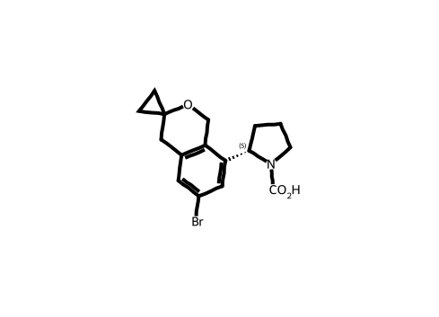 O=C(O)N1CCC[C@H]1c1cc(Br)cc2c1COC1(CC1)C2